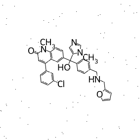 Cn1cncc1C(O)(c1ccc(CNCc2ccco2)cc1)c1ccc2c(c1)c(-c1cccc(Cl)c1)cc(=O)n2C